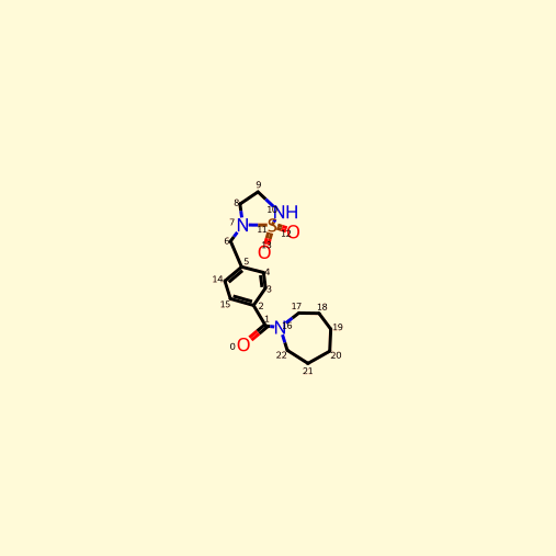 O=C(c1ccc(CN2CCNS2(=O)=O)cc1)N1CCCCCC1